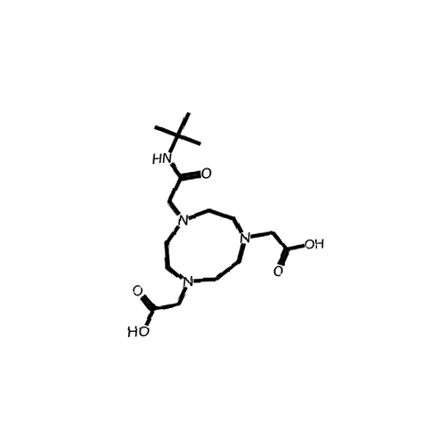 CC(C)(C)NC(=O)CN1CCN(CC(=O)O)CCN(CC(=O)O)CC1